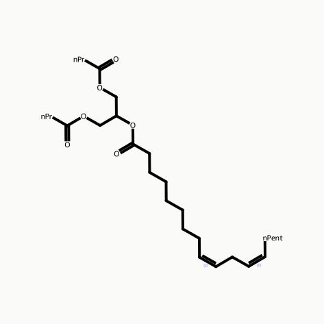 CCCCC/C=C\C/C=C\CCCCCCCC(=O)OC(COC(=O)CCC)COC(=O)CCC